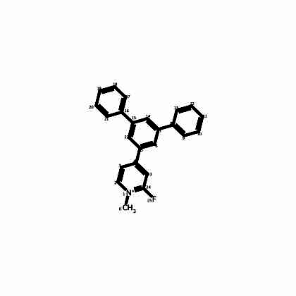 C[n+]1ccc(-c2cc(-c3ccccc3)cc(-c3ccccc3)c2)cc1F